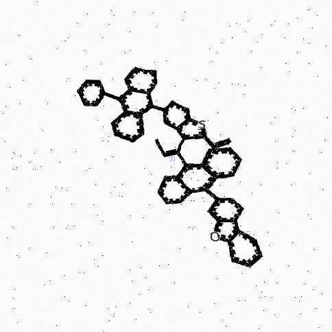 C=Cc1sc2ccc(-c3c4ccccc4c(-c4ccccc4)c4ccccc34)cc2c1/C(=C\C)c1c2ccccc2c(-c2ccc3c(c2)oc2ccccc23)c2ccccc12